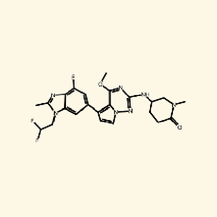 COc1nc(NC2CCC(=O)N(C)C2)nn2ccc(-c3cc(F)c4nc(C)n(CC(F)F)c4c3)c12